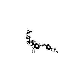 O=C(Nc1c[nH]c2ccc(OCCc3ccc(C(F)(F)F)cc3)cc12)C1CN(CC(F)F)C1